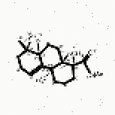 COC(=O)[C@]1(C)CCC[C@@]2(C)C3=CCC[C@](C)(I)[C@@H]3CC[C@H]12